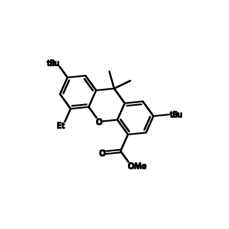 CCc1cc(C(C)(C)C)cc2c1Oc1c(C(=O)OC)cc(C(C)(C)C)cc1C2(C)C